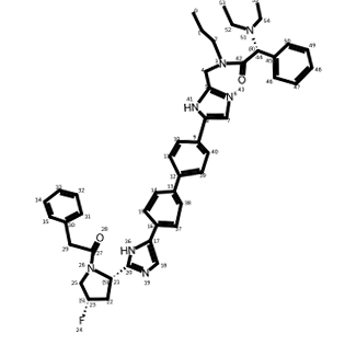 CCCN(Cc1ncc(-c2ccc(-c3ccc(-c4cnc([C@@H]5C[C@H](F)CN5C(=O)Cc5ccccc5)[nH]4)cc3)cc2)[nH]1)C(=O)[C@@H](c1ccccc1)N(CC)CC